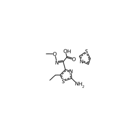 CCc1sc(N)nc1C(=NOC)C(=O)O.c1cscn1